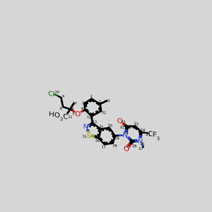 Cc1ccc(OC(C)(CCCl)C(=O)O)c(-c2nsc3ccc(-n4c(=O)cc(C(F)(F)F)n(C)c4=O)cc23)c1